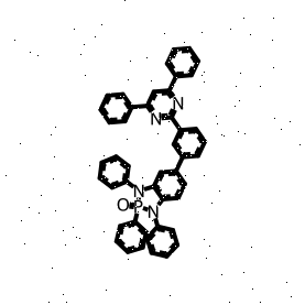 O=P1(c2ccccc2)N(c2ccccc2)c2ccc(-c3cccc(-c4nc(-c5ccccc5)cc(-c5ccccc5)n4)c3)cc2N1c1ccccc1